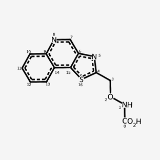 O=C(O)NOCc1nc2cnc3ccccc3c2s1